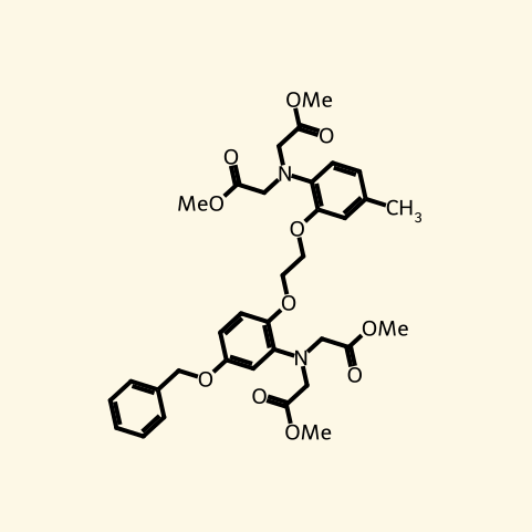 COC(=O)CN(CC(=O)OC)c1ccc(C)cc1OCCOc1ccc(OCc2ccccc2)cc1N(CC(=O)OC)CC(=O)OC